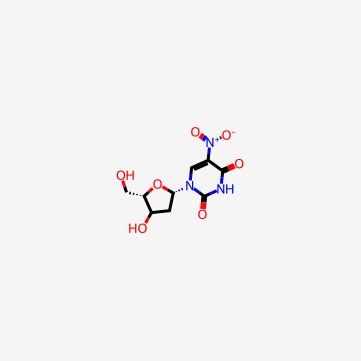 O=c1[nH]c(=O)n([C@@H]2CC(O)[C@H](CO)O2)cc1[N+](=O)[O-]